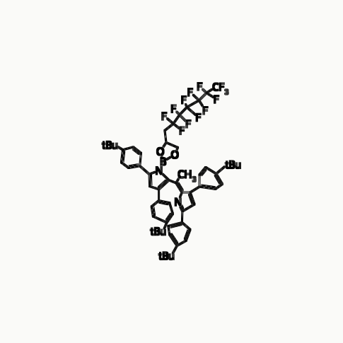 C/C(=C1/N=C(c2ccc(C(C)(C)C)cc2)C=C1c1ccc(C(C)(C)C)cc1)c1c(-c2ccc(C(C)(C)C)cc2)cc(-c2ccc(C(C)(C)C)cc2)n1B1OCC(CC(F)(F)C(F)(F)C(F)(F)C(F)(F)C(F)(F)C(F)(F)F)O1